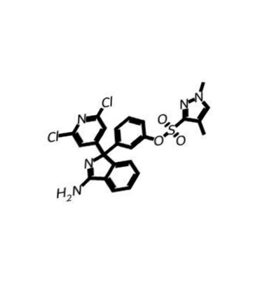 Cc1cn(C)nc1S(=O)(=O)Oc1cccc(C2(c3cc(Cl)nc(Cl)c3)N=C(N)c3ccccc32)c1